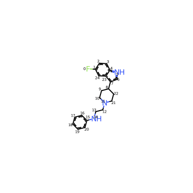 Fc1ccc2[nH]cc(C3CCN(CCNc4ccccc4)CC3)c2c1